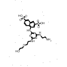 NCCNc1nc(NCCOCCO)nc(Nc2cc(S(=O)(=O)O)cc3cc(S(=O)(=O)O)ccc23)n1